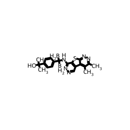 BC(B)(Nc1nncc2c1sc1nnc(C)c(C)c12)c1ccc(C(C)(C)O)cc1